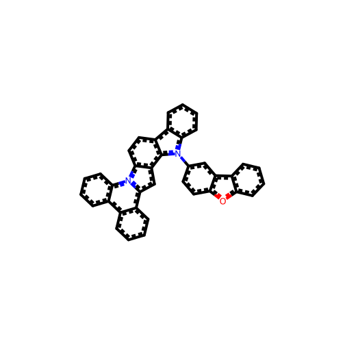 c1ccc2c(c1)oc1ccc(-n3c4ccccc4c4ccc5c(cc6c7ccccc7c7ccccc7n65)c43)cc12